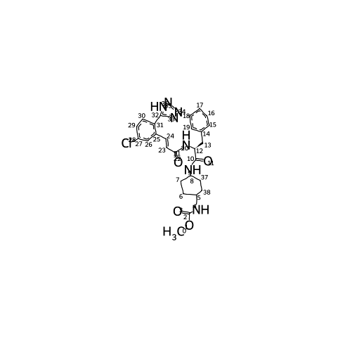 COC(=O)NC1CCC(NC(=O)[C@H](Cc2ccccc2)NC(=O)/C=C/c2cc(Cl)ccc2-c2nnn[nH]2)CC1